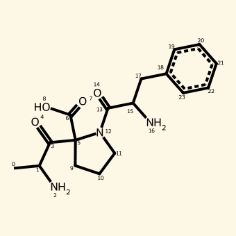 CC(N)C(=O)C1(C(=O)O)CCCN1C(=O)C(N)Cc1ccccc1